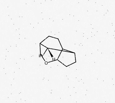 CC(C)[C@@H]1C2CCC3C(CCC31)OC2